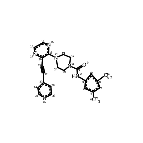 O=C(Nc1cc(C(F)(F)F)cc(C(F)(F)F)c1)N1CCN(c2nccnc2C#Cc2ccncc2)CC1